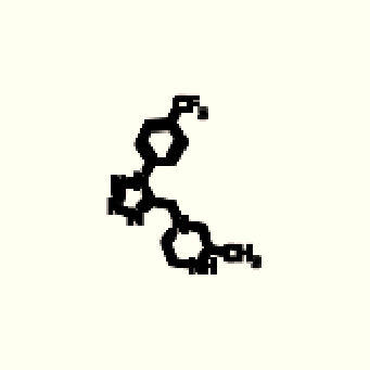 CC1CN(Cc2nnnn2-c2ccc(C(F)(F)F)cc2)CCN1